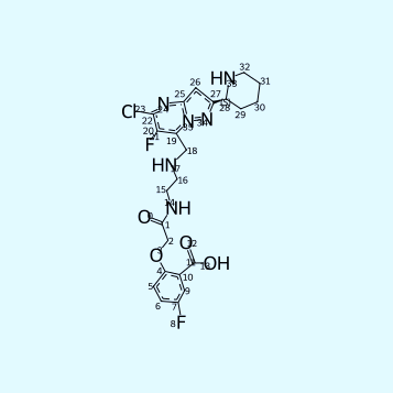 O=C(COc1ccc(F)cc1C(=O)O)NCCNCc1c(F)c(Cl)nc2cc([C@@H]3CCCCN3)nn12